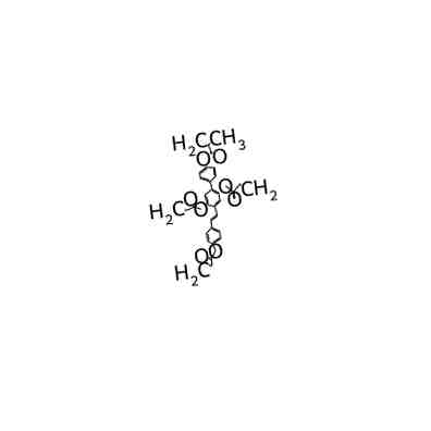 C=CC(=O)Oc1ccc(/C=C/c2cc(OC(=O)C=C)c(-c3ccc(OC(=O)C(=C)C)cc3)cc2OC(=O)C=C)cc1